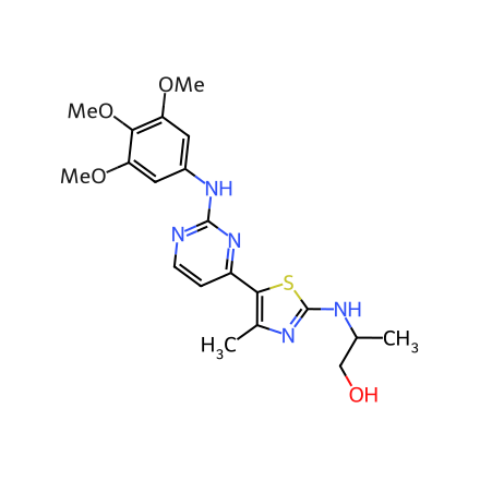 COc1cc(Nc2nccc(-c3sc(NC(C)CO)nc3C)n2)cc(OC)c1OC